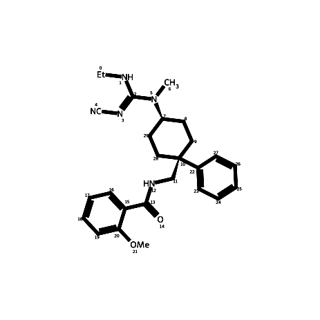 CCNC(=NC#N)N(C)[C@H]1CC[C@](CNC(=O)c2ccccc2OC)(c2ccccc2)CC1